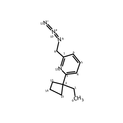 CCC1(c2cccc(CN=[N+]=[N-])n2)CCC1